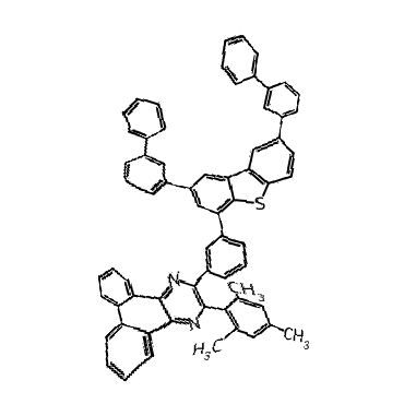 Cc1cc(C)c(-c2nc3c4ccccc4c4ccccc4c3nc2-c2cccc(-c3cc(-c4cccc(-c5ccccc5)c4)cc4c3sc3ccc(-c5cccc(-c6ccccc6)c5)cc34)c2)c(C)c1